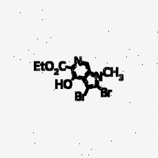 CCOC(=O)c1ncc2c(c1O)c(Br)c(Br)n2C